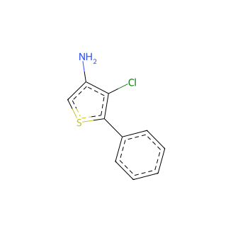 Nc1csc(-c2ccccc2)c1Cl